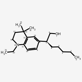 CCCCC[C@H](CO)c1ccc2c(c1)C(C)(C)CCN2CC